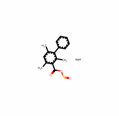 Cc1cc(C)c(-c2ccccc2)c(C)c1C(=O)OP=O.[NaH]